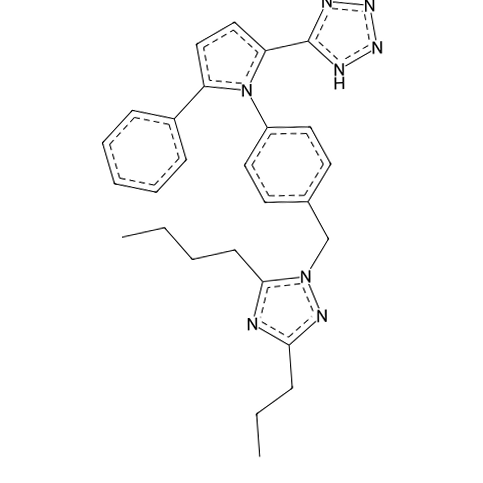 CCCCc1nc(CCC)nn1Cc1ccc(-n2c(-c3ccccc3)ccc2-c2nnn[nH]2)cc1